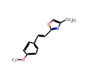 CCOC(=O)c1coc(/C=C/c2ccc(OC(F)(F)F)cc2)n1